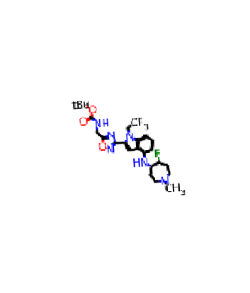 CN1CC[C@H](F)[C@H](Nc2cccc3c2cc(-c2noc(CNC(=O)OC(C)(C)C)n2)n3CC(F)(F)F)CC1